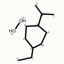 CCC1CCC(C(C)C)CC1.OO